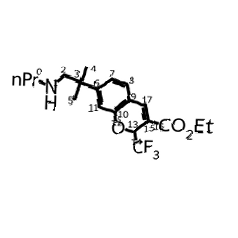 CCCNCC(C)(C)c1ccc2c(c1)OC(C(F)(F)F)C(C(=O)OCC)=C2